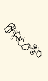 Cc1ccccc1S(=O)(=O)N1CCC(CNC(=O)NC23CC4CC(CC(C4)C2)C3)CC1